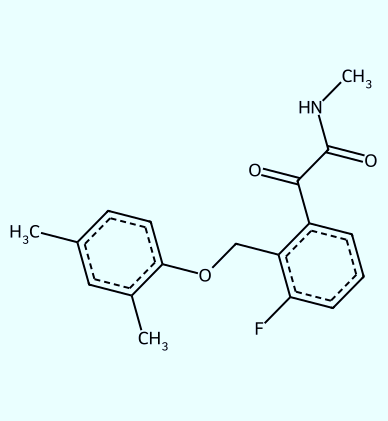 CNC(=O)C(=O)c1cccc(F)c1COc1ccc(C)cc1C